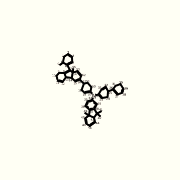 CC1CC=CC=C1C1=C2CCC=CC2C2C=C(C3CC=C(N(C4=CCC(C5=CC=CCC5)C=C4)c4ccc5c(c4)C(C)(C)C4C=CC=CC54C)CC3)C=CC12C